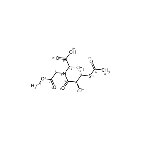 COC(=O)CN(C(=O)[C@H](C)CSC(C)=O)[C@@H](C)C(=O)O